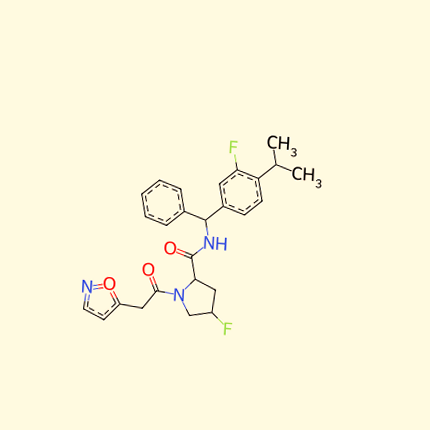 CC(C)c1ccc(C(NC(=O)C2CC(F)CN2C(=O)Cc2ccno2)c2ccccc2)cc1F